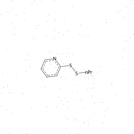 CC[CH]SSc1ccccn1